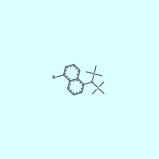 CS(C)(C)N(c1cccc2c(Br)cccc12)S(C)(C)C